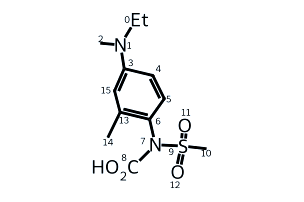 CCN(C)c1ccc(N(C(=O)O)S(C)(=O)=O)c(C)c1